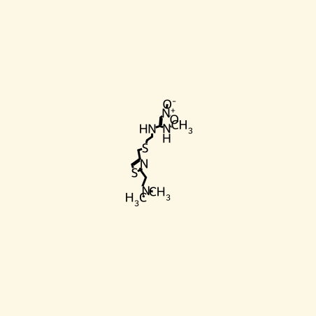 CNC(=C[N+](=O)[O-])NCCSCc1csc(CCN(C)C)n1